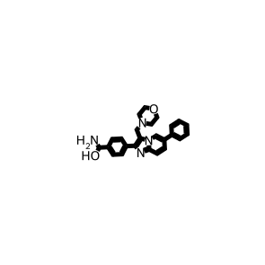 NC(O)c1ccc(-c2nc3ccc(-c4ccccc4)cn3c2CN2CCOCC2)cc1